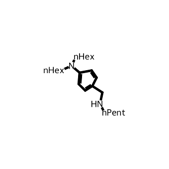 CCCCCCN(CCCCCC)c1ccc(CNCCCCC)cc1